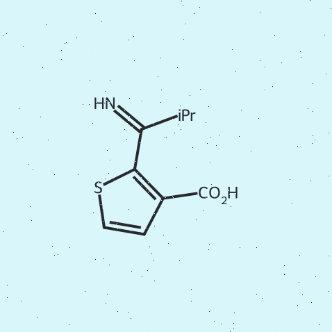 CC(C)C(=N)c1sccc1C(=O)O